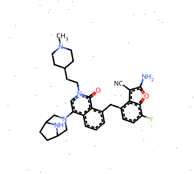 CN1CCC(CCn2cc(N3CC4CCC(C3)N4)c3cccc(Cc4ccc(F)c5oc(N)c(C#N)c45)c3c2=O)CC1